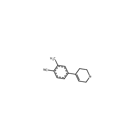 Cc1cc(C2=CC[N]CC2)ccc1C#N